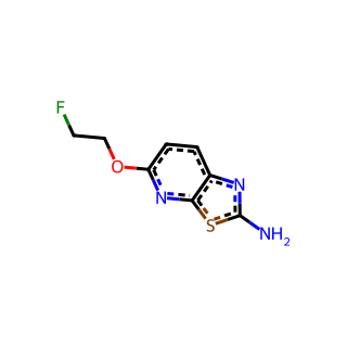 Nc1nc2ccc(OCCF)nc2s1